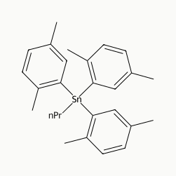 CC[CH2][Sn]([c]1cc(C)ccc1C)([c]1cc(C)ccc1C)[c]1cc(C)ccc1C